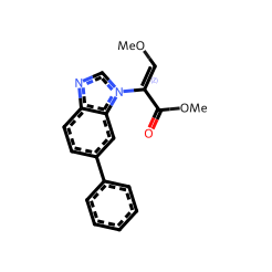 CO/C=C(/C(=O)OC)n1cnc2ccc(-c3ccccc3)cc21